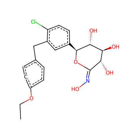 CCOc1ccc(Cc2cc([C@@H]3OC(=NO)[C@@H](O)[C@H](O)[C@H]3O)ccc2Cl)cc1